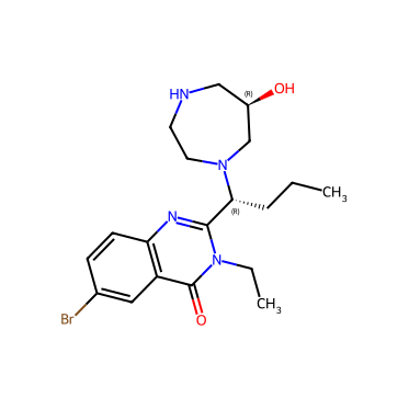 CCC[C@H](c1nc2ccc(Br)cc2c(=O)n1CC)N1CCNC[C@@H](O)C1